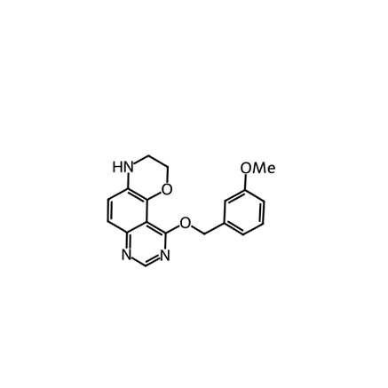 COc1cccc(COc2ncnc3ccc4c(c23)OCCN4)c1